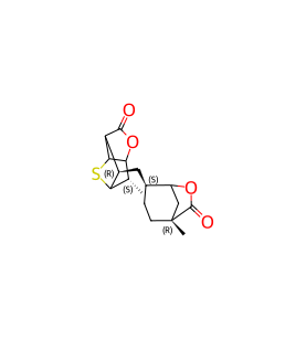 C[C@H]1C2OC(=O)C3C2SC1[C@@H]3C[C@@H]1CC[C@]2(C)CC1OC2=O